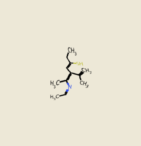 C=C(C)C(/C=C(\S)CC)=C(C)\N=C/C